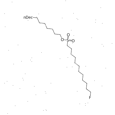 CCCCCCCCCCCCCCCCCOS(=O)(=O)CCCCCCCCCCCCF